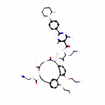 Cc1nc(-c2ccc(N3[C@H](C)CCC[C@@H]3C)cc2)nc(C)c1C(=O)N[C@@H](CCN)C(=O)N(C)[C@@H]1C(=O)N[C@@H](C)C(=O)N[C@H](C(=O)NCC#N)Cc2ccc(OCCN)c(c2)-c2cc1ccc2OCCN